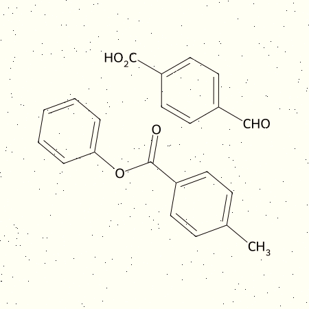 Cc1ccc(C(=O)Oc2ccccc2)cc1.O=Cc1ccc(C(=O)O)cc1